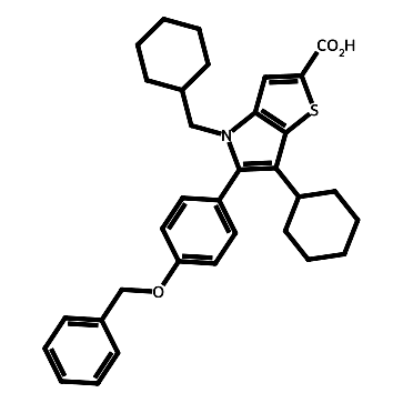 O=C(O)c1cc2c(s1)c(C1CCCCC1)c(-c1ccc(OCc3ccccc3)cc1)n2CC1CCCCC1